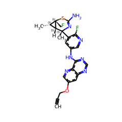 C#CCOc1cnc2c(Nc3cnc(F)c([C@@]4(C)N=C(N)S[C@]5(CF)[C@H]4[C@@H]5C)c3)ncnc2c1